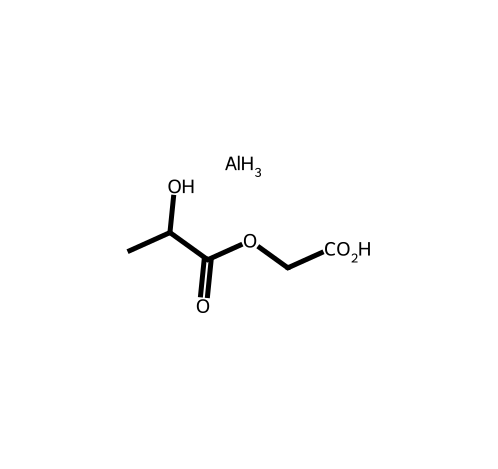 CC(O)C(=O)OCC(=O)O.[AlH3]